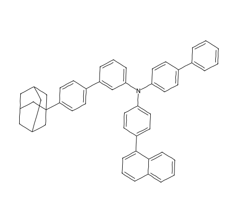 c1ccc(-c2ccc(N(c3ccc(-c4cccc5ccccc45)cc3)c3cccc(-c4ccc(C56CC7CC(CC(C7)C5)C6)cc4)c3)cc2)cc1